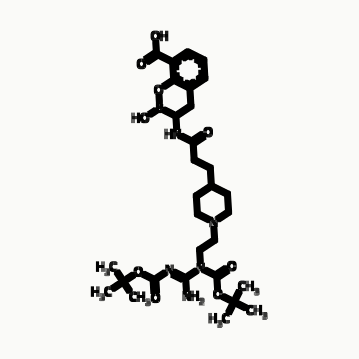 CC(C)(C)OC(=O)N=C(N)N(CCN1CCC(CCC(=O)NC2Cc3cccc(C(=O)O)c3OB2O)CC1)C(=O)OC(C)(C)C